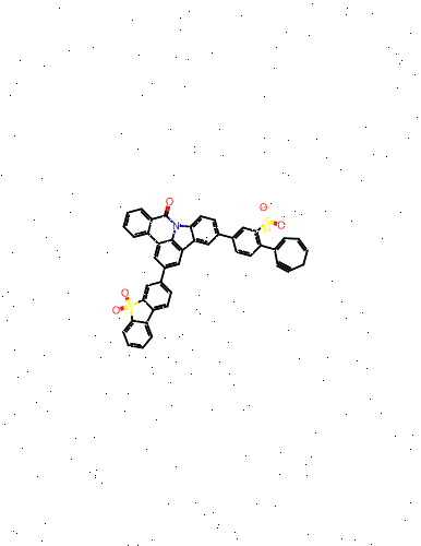 O=c1c2ccccc2c2cc(-c3ccc4c(c3)S(=O)(=O)c3ccccc3-4)cc3c4cc(-c5ccc(C6=CC=CCC#C6)c([SH](=O)=O)c5)ccc4n1c23